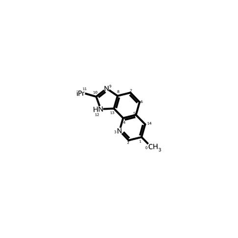 Cc1cnc2c(ccc3nc(C(C)C)[nH]c32)c1